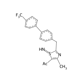 CC(=O)C1=C(C)N=C(Cc2ccc(-c3ccc(C(F)(F)F)cc3)cc2)S1=N